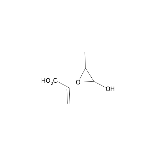 C=CC(=O)O.CC1OC1O